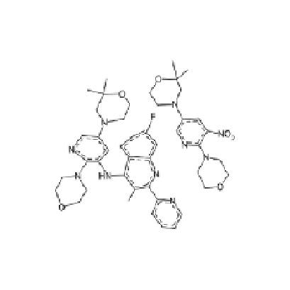 CC1(C)CN(c2cnc(N3CCOCC3)c([N+](=O)[O-])c2)CCO1.Cc1c(-c2ccccn2)nc2cc(F)ccc2c1Nc1cc(N2CCOC(C)(C)C2)cnc1N1CCOCC1